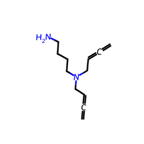 C=C=CCN(CC=C=C)CCCCN